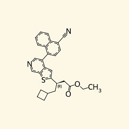 CCOC(=O)C[C@@H](CC1CCC1)c1cc2c(-c3ccc(C#N)c4ccccc34)cncc2s1